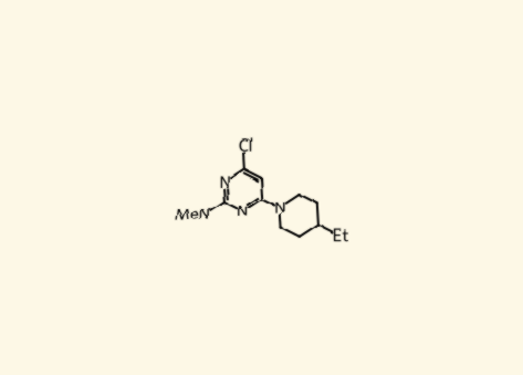 CCC1CCN(c2cc(Cl)nc(NC)n2)CC1